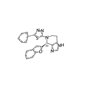 c1ccc(-c2nnc(N3CCc4[nH]cnc4[C@H]3c3cc4ccccc4o3)s2)cc1